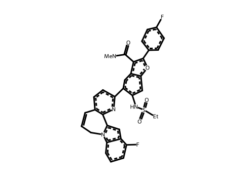 CCS(=O)(=O)Nc1cc2oc(-c3ccc(F)cc3)c(C(=O)NC)c2cc1-c1ccc2c(n1)-c1cc3c(F)cccc3n1CC=C2